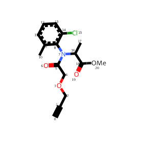 C#CCOCC(=O)N(c1c(C)cccc1Cl)C(C)C(=O)OC